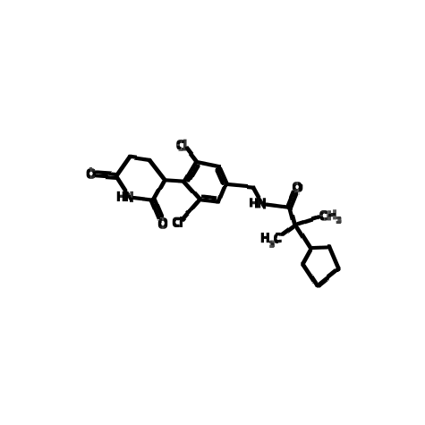 CC(C)(C(=O)NCc1cc(Cl)c(C2CCC(=O)NC2=O)c(Cl)c1)C1CCCC1